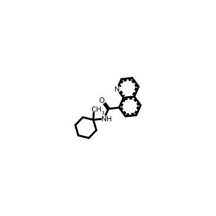 CC1(NC(=O)c2cccc3cccnc23)CCCCC1